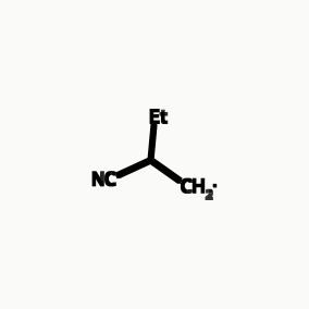 [CH2]CC([CH2])C#N